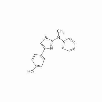 CN(c1ccccc1)c1nc(-c2ccc(O)cc2)cs1